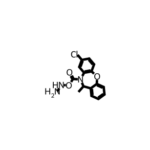 CC1c2ccccc2Oc2ccc(Cl)cc2N1C(=O)ONN